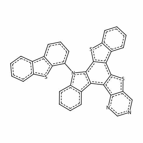 c1ccc2c(c1)sc1c(-n3c4ccccc4c4c5c6ncncc6sc5c5c6ccccc6sc5c43)cccc12